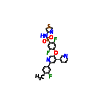 Cc1ccc(-c2cc(-c3cccnc3)c(Oc3cc(F)c(S(=O)(=O)Nc4cscn4)cc3F)cn2)cc1F